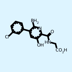 Bc1nc(C(=O)NCC(=O)O)c(O)cc1-c1cccc(Cl)c1